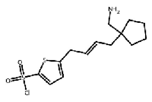 NCC1(C/C=C/Cc2ccc(S(=O)(=O)Cl)s2)CCCC1